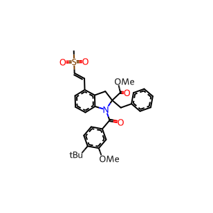 COC(=O)C1(Cc2ccccc2)Cc2c(C=CS(C)(=O)=O)cccc2N1C(=O)c1ccc(C(C)(C)C)c(OC)c1